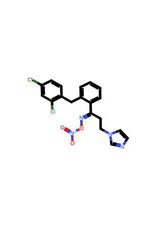 O=[N+]([O-])ON=C(CCn1ccnc1)c1ccccc1Cc1ccc(Cl)cc1Cl